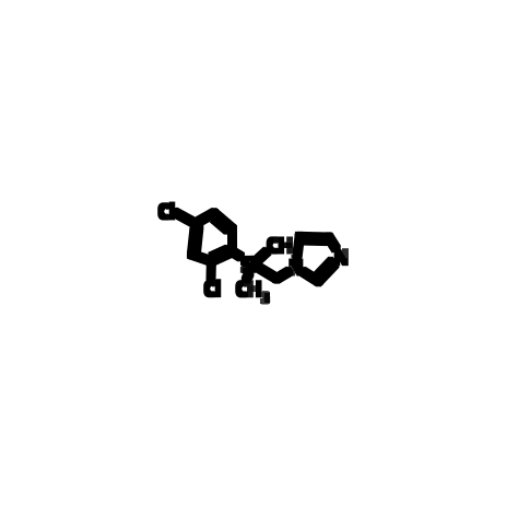 C[Si](C)(Cn1ccnc1)c1ccc(Cl)cc1Cl